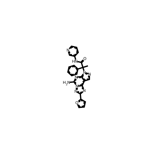 CC(C(=O)Nc1cccnc1)(c1ccccc1)n1ncc2c1nc(N)n1nc(-c3ccco3)nc21